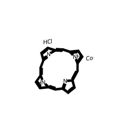 C1=Cc2cc3ccc(cc4nc(cc5ccc(cc1n2)[nH]5)C=C4)[nH]3.Cl.[Co]